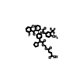 Cc1ccc(NC(=O)[C@H]2CCCN(C(=O)c3c(C)cccc3F)[C@H]2c2ccc(N(C(=O)OCOC(=O)/C=C/C(=O)O)C3CCCC3)cc2)cc1C(F)(F)F